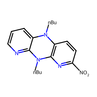 CCCCN1c2cccnc2N(CCCC)c2nc([N+](=O)[O-])ccc21